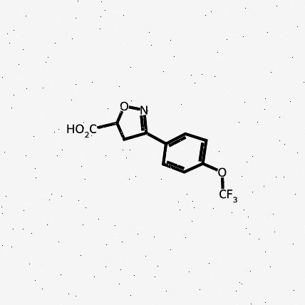 O=C(O)C1CC(c2ccc(OC(F)(F)F)cc2)=NO1